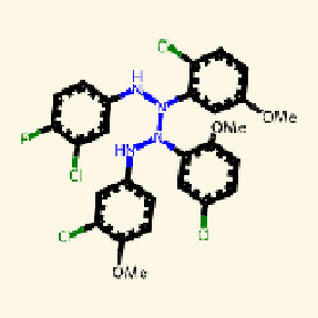 COc1ccc(Cl)c(N(Nc2ccc(F)c(Cl)c2)N(Nc2ccc(OC)c(Cl)c2)c2cc(Cl)ccc2OC)c1